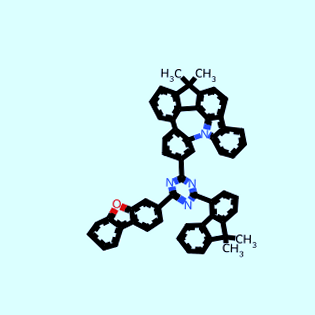 CC1(C)c2ccccc2-c2c(-c3nc(-c4ccc5c(c4)-n4c6ccccc6c6ccc7c(c64)-c4c-5cccc4C7(C)C)nc(-c4ccc5c(c4)oc4ccccc45)n3)cccc21